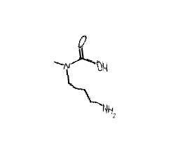 CN(CCCN)C(=O)O